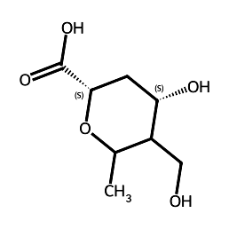 CC1O[C@H](C(=O)O)C[C@H](O)C1CO